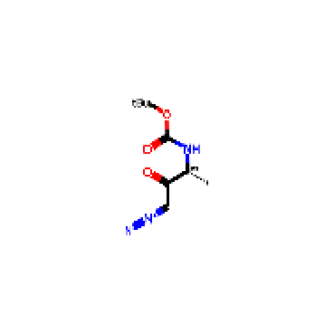 C[C@@H](NC(=O)OC(C)(C)C)C(=O)C=[N+]=[N-]